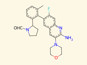 Cc1cccc(C2CCCN2C=O)c1-c1cc2cc(N3CCOCC3)c(N)nc2cc1F